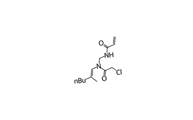 C=CC(=O)NCN(C=C(C)CCCC)C(=O)CCl